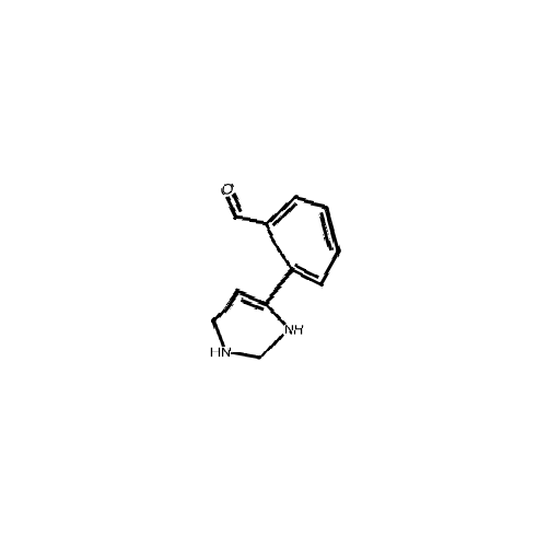 O=Cc1ccccc1C1=CCNCN1